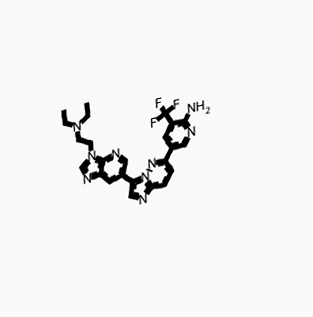 CCN(CC)CCn1cnc2cc(-c3cnc4ccc(-c5cnc(N)c(C(F)(F)F)c5)nn34)cnc21